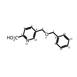 O=C(O)c1ccc(COCc2ccccc2)cn1